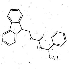 O=C(N[C@@H](C(=O)O)c1ccccc1)OCC1c2ccccc2-c2ccccc21